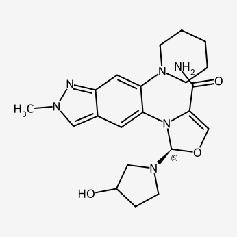 Cn1cc2cc(N3C(C(N)=O)=CO[C@H]3N3CCC(O)C3)c(N3CCCCC3)cc2n1